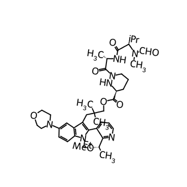 CCn1c(-c2cccnc2[C@H](C)OC)c(CC(C)(C)COC(=O)[C@@H]2CCCN(C(=O)[C@H](C)NC(=O)[C@H](C(C)C)N(C)C=O)N2)c2cc(N3CCOCC3)ccc21